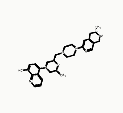 CC1CN(c2ccc(C#N)c3ncccc23)CC(CN2CCN(c3cc4c(cn3)CN[C@@H](C)C4)CC2)O1